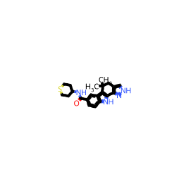 CC1(C)Cc2c[nH]nc2-c2[nH]c3ccc(C(=O)NC4CCSCC4)cc3c21